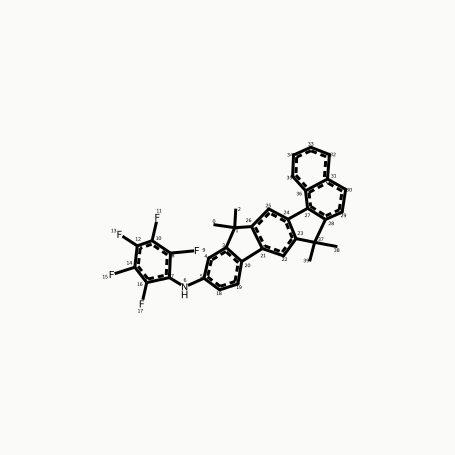 CC1(C)c2cc(Nc3c(F)c(F)c(F)c(F)c3F)ccc2-c2cc3c(cc21)-c1c(ccc2ccccc12)C3(C)C